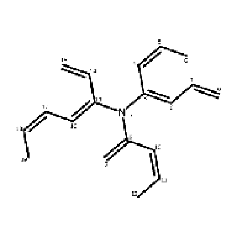 C=C/C=C(\C=C/C)N(C(=C)/C=C\C)/C(C=C)=C/C=C\C